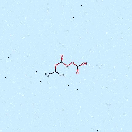 CC(C)OC(=O)OOC(=O)O